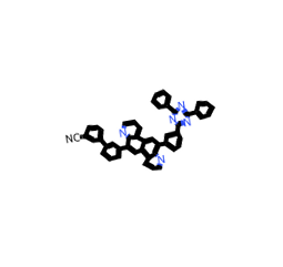 N#Cc1cccc(-c2cccc(-c3cc4c5cccnc5c(-c5cccc(-c6nc(-c7ccccc7)nc(-c7ccccc7)n6)c5)cc4c4cccnc34)c2)c1